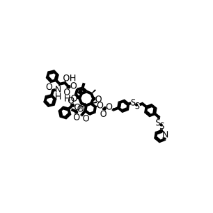 CC(=O)O[C@@]12COC1C[C@H](OC(=O)OCc1ccc(SSCc3ccc(CSSc4ccccn4)cc3)cc1)[C@@]1(C)C(=O)[C@H](C)C3=C(C)C(OC(=O)[C@H](O)[C@@H](NC(=O)c4ccccc4)c4ccccc4)C[C@@](O)([C@@H](OC(=O)c4ccccc4)[C@@H]12)C3(C)C